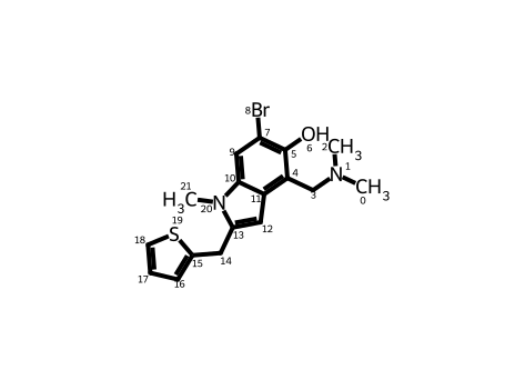 CN(C)Cc1c(O)c(Br)cc2c1cc(Cc1cccs1)n2C